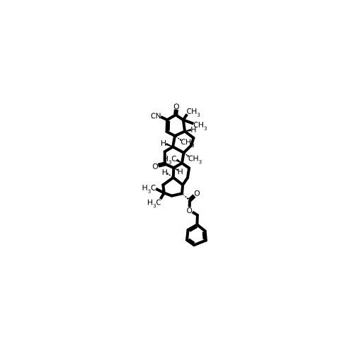 [C-]#[N+]C1=C[C@]2(C)[C@H]3CC(=O)[C@@H]4[C@@H]5CC(C)(C)C[C@@H](C(=O)OCc6ccccc6)C5CC[C@@]4(C)[C@]3(C)CC[C@H]2C(C)(C)C1=O